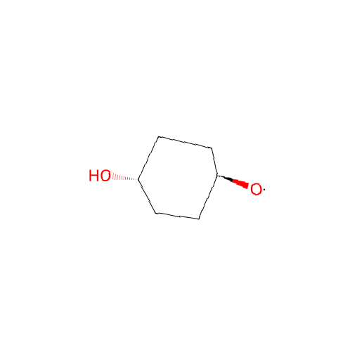 [O][C@H]1CC[C@H](O)CC1